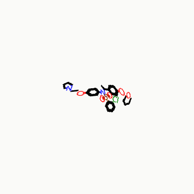 CC(c1ccc(OC2CCCCO2)cc1)N(c1ccc(OCCN2CCCC2)cc1)S(=O)(=O)c1ccccc1Cl